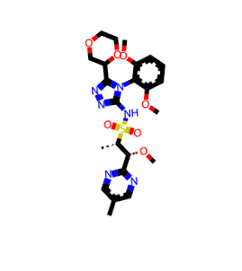 COc1cccc(OC)c1-n1c(NS(=O)(=O)[C@@H](C)[C@H](OC)c2ncc(C)cn2)nnc1C1COCCO1